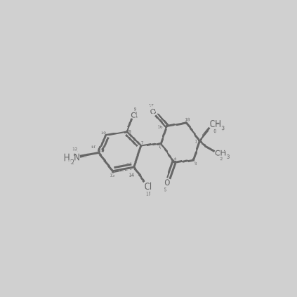 CC1(C)CC(=O)C(c2c(Cl)cc(N)cc2Cl)C(=O)C1